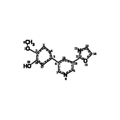 COc1ccc(-c2cncc(-c3ncco3)c2)cc1O